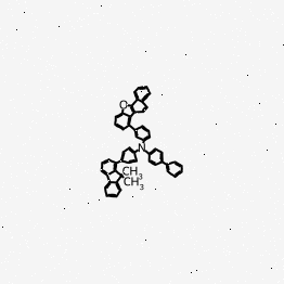 CC1(C)c2ccccc2-c2cccc(-c3ccc(N(c4ccc(-c5ccccc5)cc4)c4cccc(-c5cccc6oc7c8ccccc8ccc7c56)c4)cc3)c21